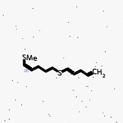 C=CCC=CSCCC/C=C\SC